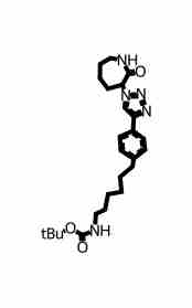 CC(C)(C)OC(=O)NCCCCCCc1ccc(-c2cn(C3CCCCNC3=O)nn2)cc1